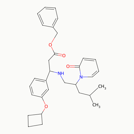 CC(C)CC(CNC(CC(=O)OCc1ccccc1)c1cccc(OC2CCC2)c1)n1ccccc1=O